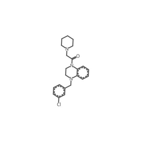 O=C(CN1CCCCC1)N1CCN(Cc2cccc(Cl)c2)c2ccccc21